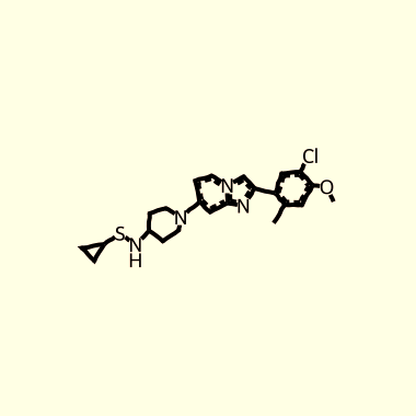 COc1cc(C)c(-c2cn3ccc(N4CCC(NSC5CC5)CC4)cc3n2)cc1Cl